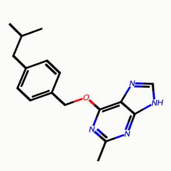 Cc1nc(OCc2ccc(CC(C)C)cc2)c2nc[nH]c2n1